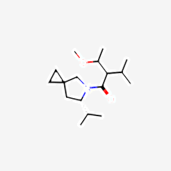 COC(C)C(C(=O)N1CC2(CC2)C[C@H]1C(C)C)C(C)C